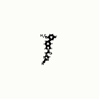 COc1ccc(F)cc1-c1ccc2c(c1)CN(C(=O)Cn1cnc(C#N)n1)C2